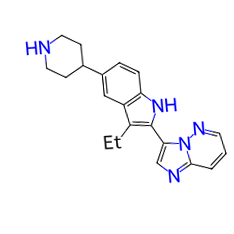 CCc1c(-c2cnc3cccnn23)[nH]c2ccc(C3CCNCC3)cc12